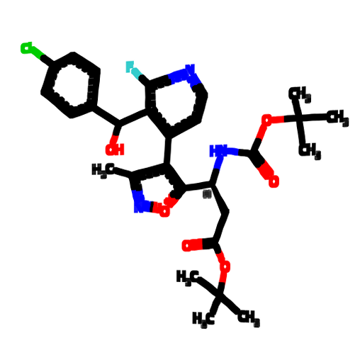 Cc1noc([C@H](CC(=O)OC(C)(C)C)NC(=O)OC(C)(C)C)c1-c1ccnc(F)c1C(O)c1ccc(Cl)cc1